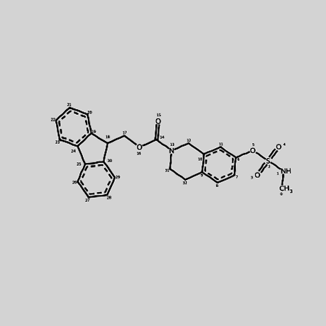 CNS(=O)(=O)Oc1ccc2c(c1)CN(C(=O)OCC1c3ccccc3-c3ccccc31)CC2